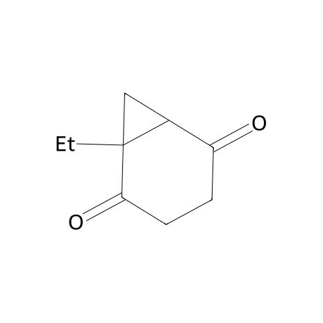 CCC12CC1C(=O)CCC2=O